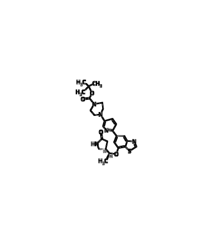 C[C@H](Oc1cc(-c2ccc(N3CCN(C(=O)OC(C)(C)C)CC3)cn2)cc2ncsc12)[C@@H]1CNC(=O)C1